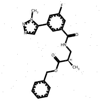 C[C@H](CNC(=O)c1cc(F)cc(-c2cnnn2C)c1)C(=O)OCc1ccccc1